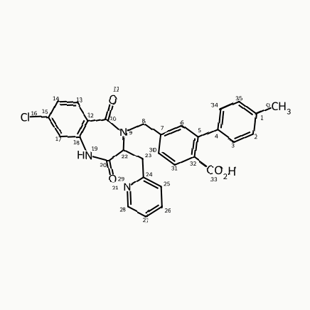 Cc1ccc(-c2cc(CN3C(=O)c4ccc(Cl)cc4NC(=O)C3Cc3ccccn3)ccc2C(=O)O)cc1